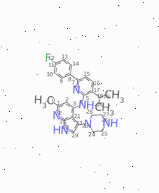 Cc1cc(Nc2nc(-c3ccc(F)cc3)ccc2C(C)C)c2c(N3CCNCC3)c[nH]c2n1